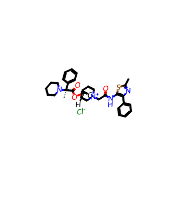 Cc1nc(-c2ccccc2)c(NC(=O)C[N+]23CCC(CC2)[C@@H](OC(=O)[C@](C)(c2ccccc2)N2CCCCC2)C3)s1.[Cl-]